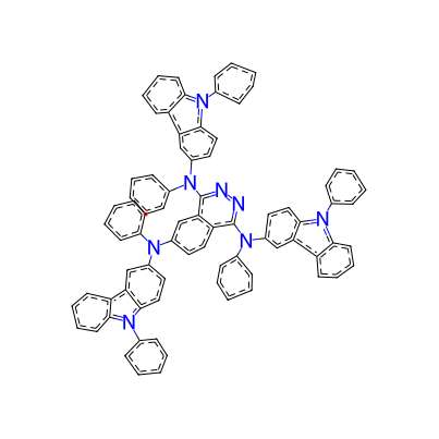 c1ccc(N(c2ccc3c(N(c4ccccc4)c4ccc5c(c4)c4ccccc4n5-c4ccccc4)nnc(N(c4ccccc4)c4ccc5c(c4)c4ccccc4n5-c4ccccc4)c3c2)c2ccc3c(c2)c2ccccc2n3-c2ccccc2)cc1